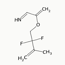 C=C(C=N)OCC(F)(F)C(=C)C